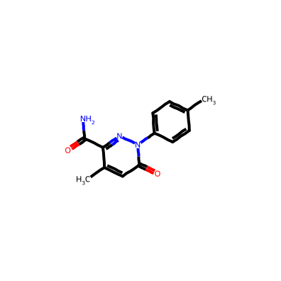 Cc1ccc(-n2nc(C(N)=O)c(C)cc2=O)cc1